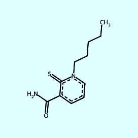 CCCCCn1cccc(C(N)=O)c1=S